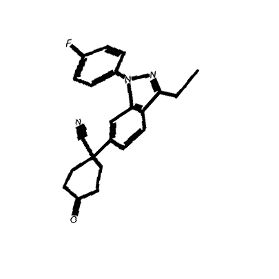 CCc1nn(-c2ccc(F)cc2)c2cc(C3(C#N)CCC(=O)CC3)ccc12